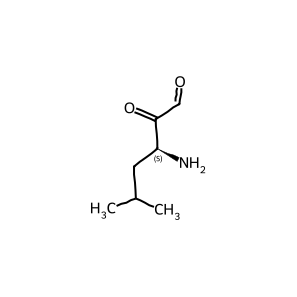 CC(C)C[C@H](N)C(=O)C=O